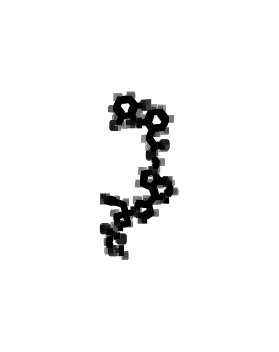 CCS(=O)(=O)N1CC(CC#N)(n2cc(-c3ncnc4c3ccn4COC(=O)Cc3ccccc3Nc3c(Cl)cccc3Cl)cn2)C1